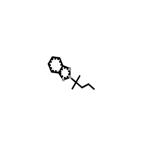 CCCC(C)(C)n1nc2ccccc2n1